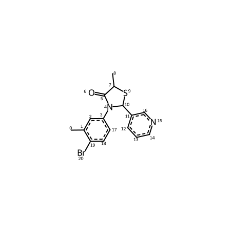 Cc1cc(N2C(=O)C(C)SC2c2cccnc2)ccc1Br